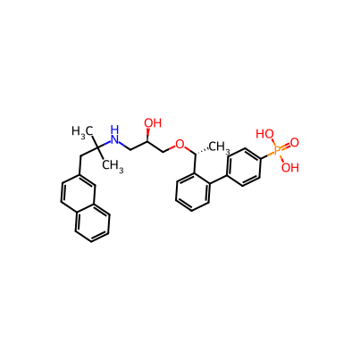 C[C@@H](OC[C@H](O)CNC(C)(C)Cc1ccc2ccccc2c1)c1ccccc1-c1ccc(P(=O)(O)O)cc1